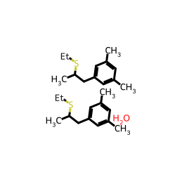 CCSC(C)Cc1cc(C)cc(C)c1.CCSC(C)Cc1cc(C)cc(C)c1.O